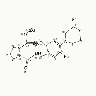 COc1nc(N2CCCC(F)C2)c(F)cc1CNC(=O)[C@@H]1CCCN1C(=O)OC(C)(C)C